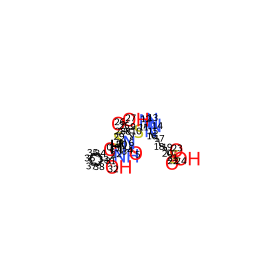 O=C(NC1C(=O)N2CC(CSc3nnnn3CCCCCS(=O)(=O)O)(C(=O)O)CS[C@H]12)C(O)c1ccccc1